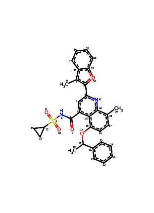 Cc1c(-c2cc(C(=O)NS(=O)(=O)C3CC3)c3c(OC(C)c4ccccc4)ccc(C)c3n2)oc2ccccc12